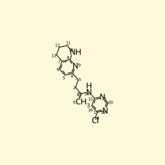 C[C@@H](C[CH]c1ccc2c(n1)NCCC2)Nc1cc(Cl)ncn1